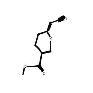 COC(=O)C1CC/C(=C/C#N)OC1